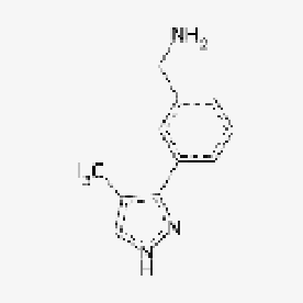 Cc1c[nH]nc1-c1cccc(CN)c1